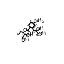 CCC(OC(=O)c1ccc(N)cc1CC(O)CO)C(O)CO